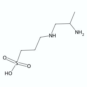 CC(N)CNCCCS(=O)(=O)O